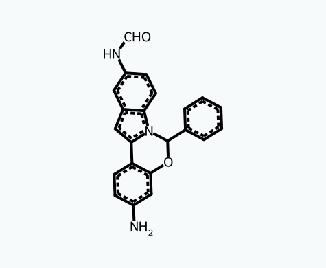 Nc1ccc2c(c1)OC(c1ccccc1)n1c-2cc2cc(NC=O)ccc21